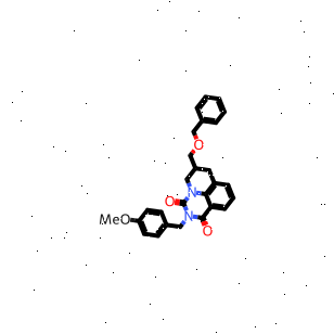 COc1ccc(Cn2c(=O)c3cccc4c3n(c2=O)CC(COCc2ccccc2)C4)cc1